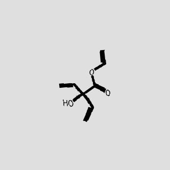 C=COC(=O)C(O)(C=C)C=C